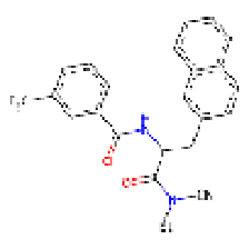 CCN(C#N)C(=O)C(Cc1ccc2ccccc2c1)NC(=O)c1cccc(C(F)(F)F)c1